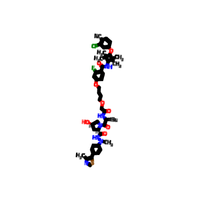 Cc1ncsc1-c1ccc(N(C)NC(=O)[C@@H]2C[C@@H](O)CN2C(=O)C(NC(=O)COCCCCOc2ccc(C(=O)NC3C(C)(C)C(Oc4ccc(C#N)c(Cl)c4)C3(C)C)c(F)c2)C(C)(C)C)cc1